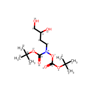 CC(C)(C)OC(=O)ON(CCC(O)CO)C(=O)OC(C)(C)C